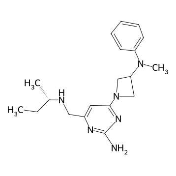 CC[C@H](C)NCc1cc(N2CC(N(C)c3ccccc3)C2)nc(N)n1